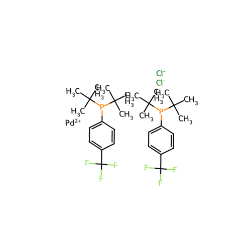 CC(C)(C)P(c1ccc(C(F)(F)F)cc1)C(C)(C)C.CC(C)(C)P(c1ccc(C(F)(F)F)cc1)C(C)(C)C.[Cl-].[Cl-].[Pd+2]